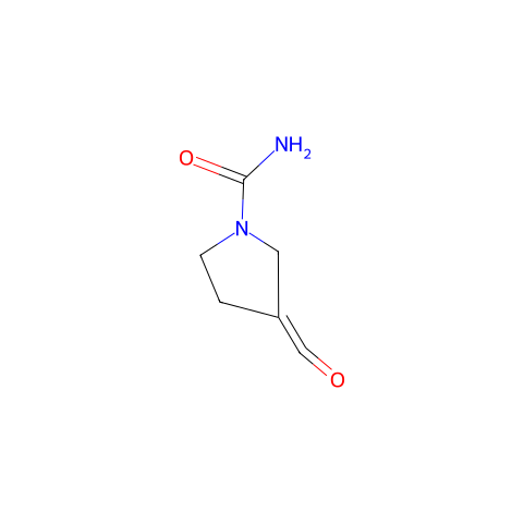 NC(=O)N1CCC(=C=O)C1